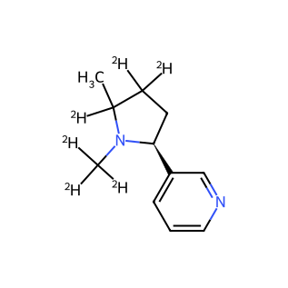 [2H]C([2H])([2H])N1[C@H](c2cccnc2)CC([2H])([2H])C1([2H])C